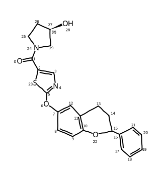 O=C(c1cnc(Oc2ccc3c(c2)CCC(c2ccccc2)O3)s1)N1CC[C@@H](O)C1